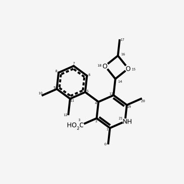 CC1=C(C(=O)O)C(c2cccc(C)c2C)C(C2OC(C)O2)=C(C)N1